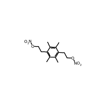 Cc1c(C)c(CCO[N+](=O)[O-])c(C)c(C)c1CCO[N+](=O)[O-]